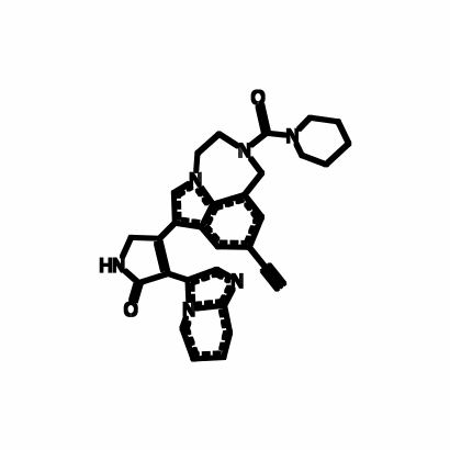 C#Cc1cc2c3c(c1)c(C1=C(c4cnc5ccccn45)C(=O)NC1)cn3CCN(C(=O)N1CCCCC1)C2